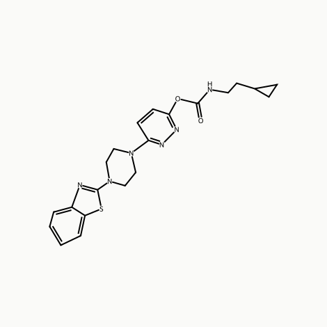 O=C(NCCC1CC1)Oc1ccc(N2CCN(c3nc4ccccc4s3)CC2)nn1